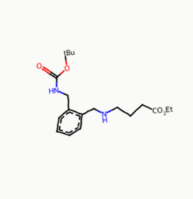 CCOC(=O)CCCNCc1ccccc1CNC(=O)OC(C)(C)C